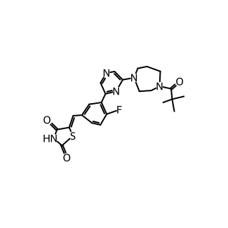 CC(C)(C)C(=O)N1CCCN(c2cncc(-c3cc(/C=C4\SC(=O)NC4=O)ccc3F)n2)CC1